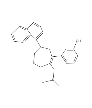 CN(C)CC1=C(c2cccc(O)c2)CC(c2cccc3ccccc23)CCC1